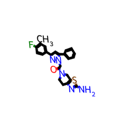 Cc1cc(-c2cc(-c3ccccc3)n(CC(=O)N3CCc4nc(N)sc4C3)n2)ccc1F